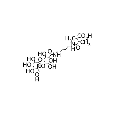 CC(C(=O)O)C(C)C(=O)NCCCCCCNC(=O)C(O)C(O)C(OC1OC(CO)C(O)C(O)C1O)C(O)CO